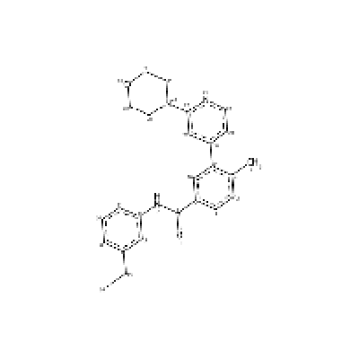 Cc1ccc(C(=O)Nc2cccc(CF)c2)cc1-c1ccnc(N2CCOCC2)c1